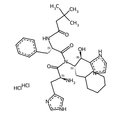 CC(C)(C)CC(=O)N[C@@H](Cc1ccccc1)C(=O)N(C(=O)[C@@H](N)Cc1c[nH]cn1)[C@@H](CC1CCCCC1)[C@@H](O)c1ncc[nH]1.Cl.Cl